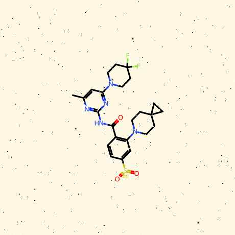 Cc1cc(N2CCC(F)(F)CC2)nc(NC(=O)c2ccc([SH](=O)=O)cc2N2CCC3(CC2)CC3)n1